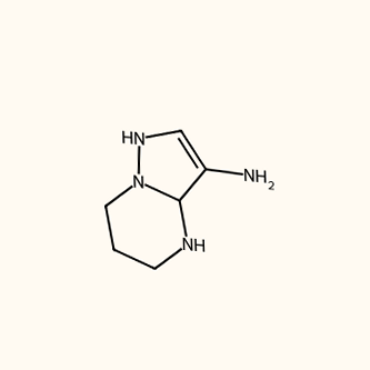 NC1=CNN2CCCNC12